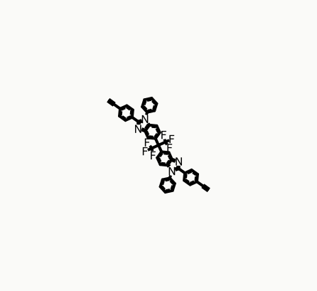 C#Cc1ccc(-c2nc3cc(C(c4ccc5c(c4)nc(-c4ccc(C#C)cc4)n5-c4ccccc4)(C(F)(F)F)C(F)(F)F)ccc3n2-c2ccccc2)cc1